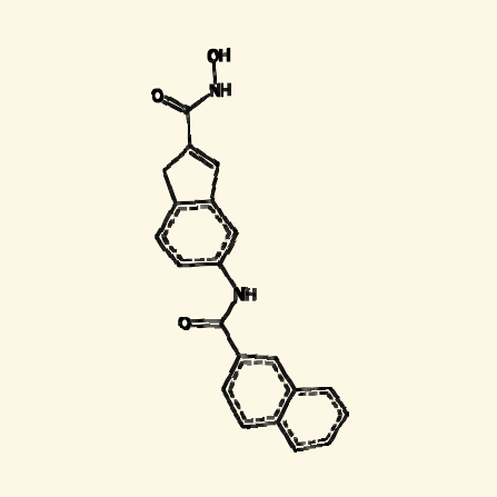 O=C(NO)C1=Cc2cc(NC(=O)c3ccc4ccccc4c3)ccc2C1